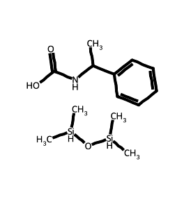 CC(NC(=O)O)c1ccccc1.C[SiH](C)O[SiH](C)C